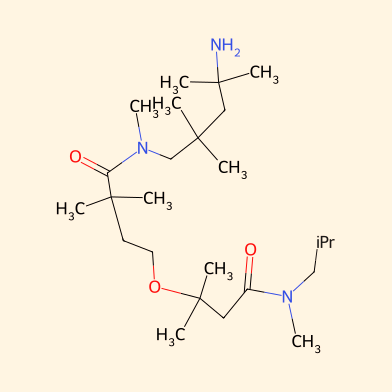 CC(C)CN(C)C(=O)CC(C)(C)OCCC(C)(C)C(=O)N(C)CC(C)(C)CC(C)(C)N